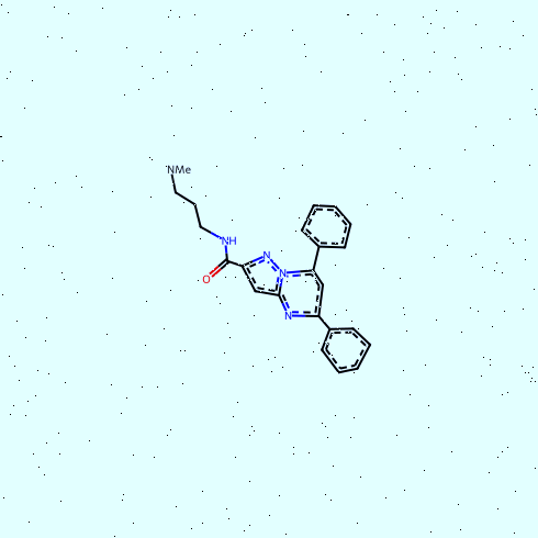 CNCCCNC(=O)c1cc2nc(-c3ccccc3)cc(-c3ccccc3)n2n1